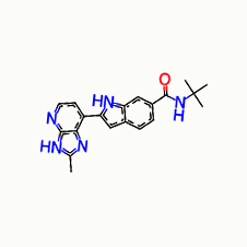 Cc1nc2c(-c3cc4ccc(C(=O)NC(C)(C)C)cc4[nH]3)ccnc2[nH]1